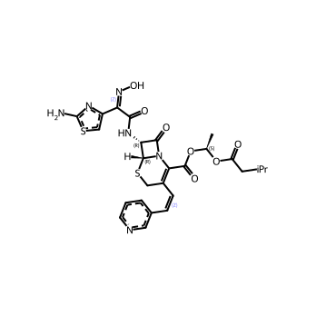 CC(C)CC(=O)O[C@H](C)OC(=O)C1=C(/C=C\c2cccnc2)CS[C@@H]2[C@H](NC(=O)/C(=N\O)c3csc(N)n3)C(=O)N12